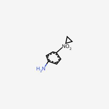 C1CC1.Nc1ccc([N+](=O)[O-])cc1